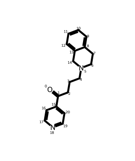 O=C(CCCN1CCc2ccccc2C1)c1ccncc1